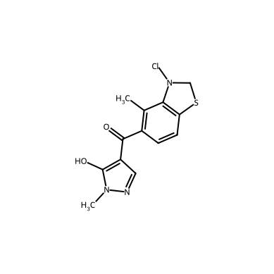 Cc1c(C(=O)c2cnn(C)c2O)ccc2c1N(Cl)CS2